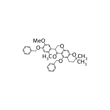 COc1cc(C2COc3cc4c(c(OCc5ccccc5)c3C2=O)CCC(C)(C)O4)c(C)cc1OCc1ccccc1